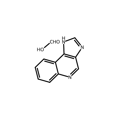 O=CO.c1ccc2c(c1)ncc1nc[nH]c12